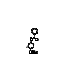 COc1[c]cc(OC(=O)c2ccccc2)cc1